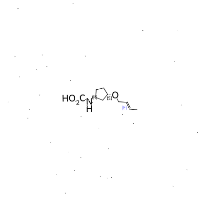 C/C=C/CO[C@H]1CC[C@@H](NC(=O)O)C1